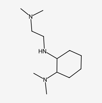 CN(C)CCNC1CCCCC1N(C)C